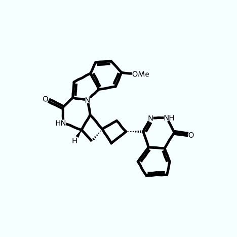 COc1ccc2cc3n(c2c1)C1[C@H](C[C@]12C[C@@H](c1n[nH]c(=O)c4ccccc41)C2)NC3=O